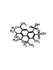 Cc1c(S(=O)(=O)O)c(S(=O)(=O)O)c2cc(C(C)C)c(C(C)C)c(C(C)C)c2c1C(C)C